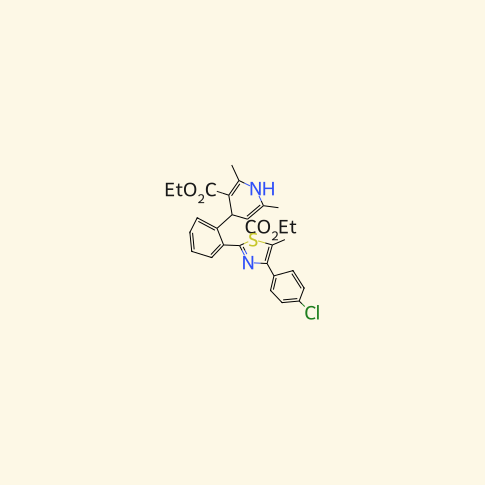 CCOC(=O)C1=C(C)NC(C)=C(C(=O)OCC)C1c1ccccc1-c1nc(-c2ccc(Cl)cc2)c(C)s1